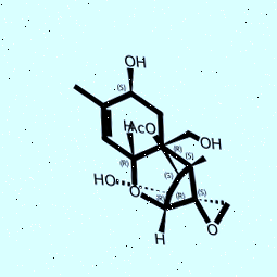 CC(=O)O[C@@H]1[C@@H](O)[C@H]2O[C@@H]3C=C(C)[C@@H](O)C[C@]3(CO)[C@]1(C)[C@]21CO1